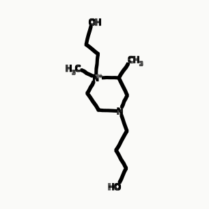 CC1CN(CCCO)CC[N+]1(C)CCO